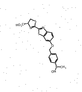 CB(N=O)c1ccc(COc2ccc3nc(C4=N[C@@H](C(=O)O)CS4)sc3c2)cc1